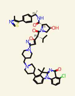 Cc1ncsc1-c1ccc([C@H](C)NC(=O)[C@@H]2C[C@@H](O)CN2C(=O)[C@@H](c2cc(N3CCC(CN4CCC(c5cccc6c5C(C)(C)c5nc(=O)c7c(Cl)cccc7n5-6)CC4)CC3)no2)C(C)C)cc1